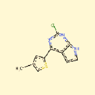 Cc1csc(-c2nc(Cl)nc3[nH]ccc23)c1